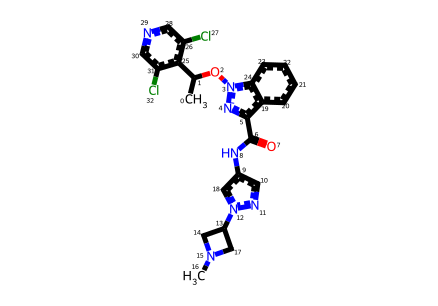 CC(On1nc(C(=O)Nc2cnn(C3CN(C)C3)c2)c2ccccc21)c1c(Cl)cncc1Cl